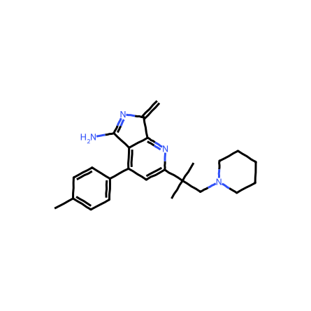 C=C1N=C(N)c2c(-c3ccc(C)cc3)cc(C(C)(C)CN3CCCCC3)nc21